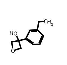 CCc1cccc(C2(O)COC2)c1